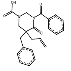 C=CCC1(Cc2ccccc2)CN(C(=O)O)CN(C(=O)c2ccccc2)C1=O